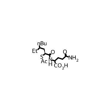 CCCCC(CC)C[C@H](SC(C)=O)C(=O)NC(CCC(N)=O)C(=O)O